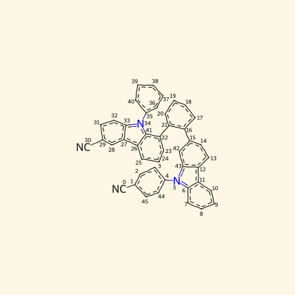 N#Cc1ccc(-n2c3ccccc3c3ccc(-c4ccccc4-c4cccc5c6cc(C#N)ccc6n(-c6ccccc6)c45)cc32)cc1